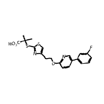 CC(C)(Sc1nc(CCOc2ccc(-c3cccc(F)c3)cn2)cs1)C(=O)O